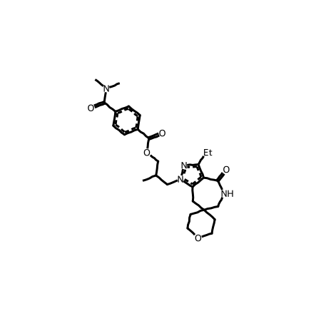 CCc1nn(CC(C)COC(=O)c2ccc(C(=O)N(C)C)cc2)c2c1C(=O)NCC1(CCOCC1)C2